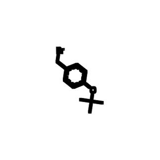 CC(C)(C)Oc1ccc(CBr)cc1